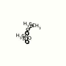 Cc1nc2ccccc2c(=O)n1-c1ccc(OCCCN(C)C)cc1